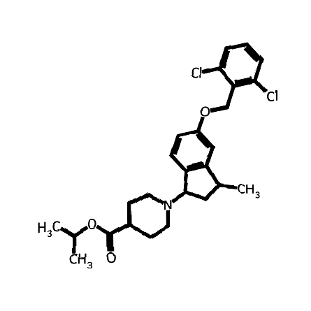 CC(C)OC(=O)C1CCN(C2CC(C)c3cc(OCc4c(Cl)cccc4Cl)ccc32)CC1